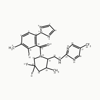 Cc1ccc(-n2nccn2)c(C(=O)N2CC(F)(F)CC(C)C2CNc2ncc(C(F)(F)F)cn2)c1F